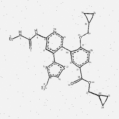 CCNC(=O)Nc1cc(-c2nc(C(F)(F)F)cs2)c(-c2cc(C(=O)OCC3CC3)cnc2OCC2CC2)cn1